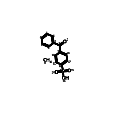 C.O=C(c1ccccc1)c1ccc(S(=O)(=O)O)cc1